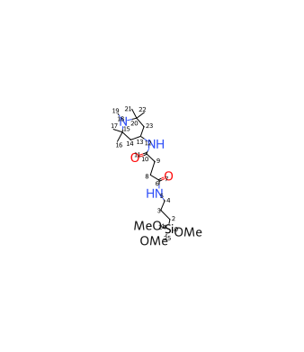 CO[Si](CCCNC(=O)CCC(=O)NC1CC(C)(C)N(C)C(C)(C)C1)(OC)OC